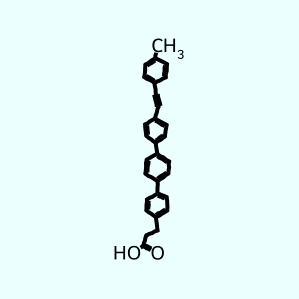 Cc1ccc(C#Cc2ccc(-c3ccc(-c4ccc(CCC(=O)O)cc4)cc3)cc2)cc1